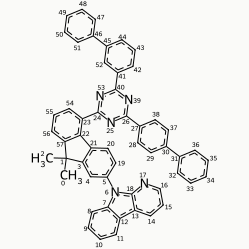 CC1(C)c2cc(-n3c4ccccc4c4cccnc43)ccc2-c2c(-c3nc(-c4ccc(-c5ccccc5)cc4)nc(-c4cccc(-c5ccccc5)c4)n3)cccc21